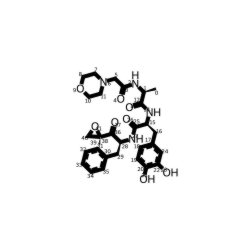 C[C@H](NC(=O)CN1CCOCC1)C(=O)N[C@@H](Cc1ccc(O)c(O)c1)C(=O)N[C@@H](Cc1ccccc1)C(=O)[C@@]1(C)CO1